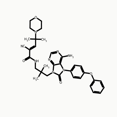 CC(C)(CNC(=O)C(C#N)=CC(C)(C)N1CCOCC1)Cn1c(=O)n(-c2ccc(Oc3ccccc3)cc2)c2c(N)ncnc21